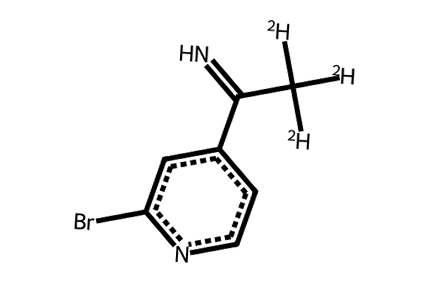 [2H]C([2H])([2H])C(=N)c1ccnc(Br)c1